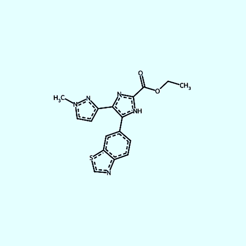 CCOC(=O)c1nc(-c2ccn(C)n2)c(-c2ccc3ncsc3c2)[nH]1